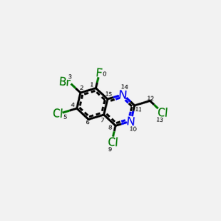 Fc1c(Br)c(Cl)cc2c(Cl)nc(CCl)nc12